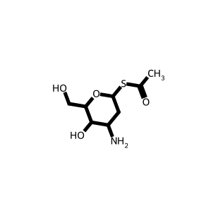 CC(=O)SC1CC(N)C(O)C(CO)O1